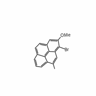 COc1cc2ccc3cccc4c(C)cc(c1Br)c2c34